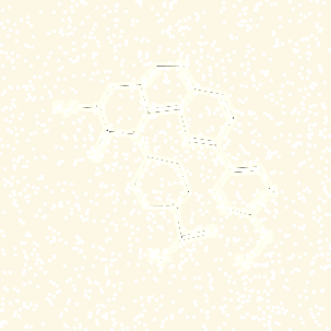 COc1ncc(-c2ccc3ncc4c(c3n2)N(C2CCN(C(C)=O)CC2)C(=O)N(C)C4)cn1